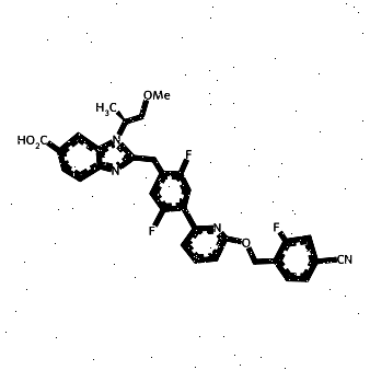 COC[C@H](C)n1c(Cc2cc(F)c(-c3cccc(OCc4ccc(C#N)cc4F)n3)cc2F)nc2ccc(C(=O)O)cc21